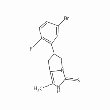 Cc1[nH]c(=S)n2c1CC(c1cc(Br)ccc1F)C2